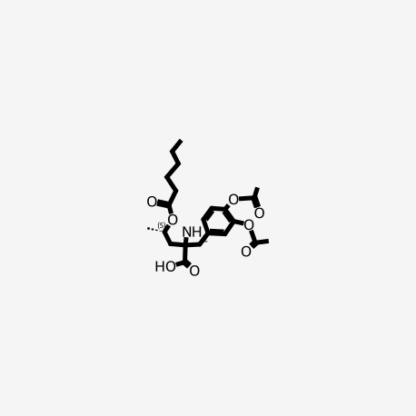 CCCCCC(=O)O[C@@H](C)CC(N)(Cc1ccc(OC(C)=O)c(OC(C)=O)c1)C(=O)O